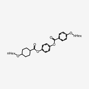 CCCCCCOc1ccc(C(=O)Oc2ccc(OC(=O)C3CCC(OCCCCCC)CC3)cc2)cc1